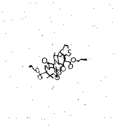 C=CCOC(=O)C(C(=O)N[C@@H]1C(=O)N2C(C(=O)OCC=C)C(C)(C)S(=O)(=O)[C@H]12)=C1SCCS1